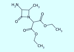 CCOC(=O)C(C(=O)OCC)N1C(=O)C(N)C1C